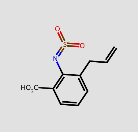 C=CCc1cccc(C(=O)O)c1N=S(=O)=O